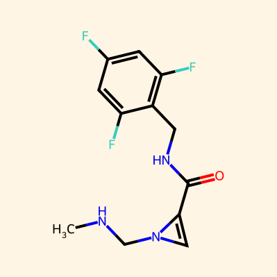 CNCN1C=C1C(=O)NCc1c(F)cc(F)cc1F